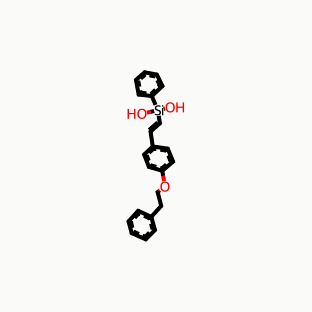 O[Si](O)(C=Cc1ccc(OCCc2ccccc2)cc1)c1ccccc1